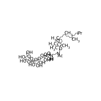 CC(=O)N(CCCNC(=O)[C@H](O)[C@@H](O)[C@H](O)C(O)COC1O[C@H](COC2O[C@H](CO)C(O)[C@H](O)C2O)[C@@H](O)[C@H](O)C1O)CCOc1c(C)c(C)c2c(c1C)CC[C@](C)(CCC[C@H](C)CCC[C@H](C)CCCC(C)C)O2